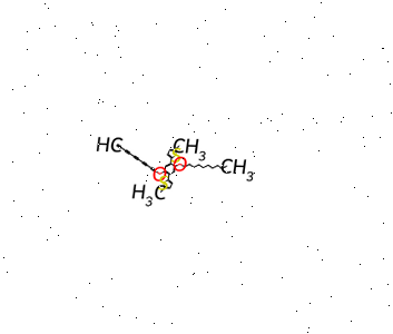 C#CC#CC#CC#CC#COc1cc(-c2ccc(C)s2)c(OCCCCCCCCCC)cc1-c1ccc(C)s1